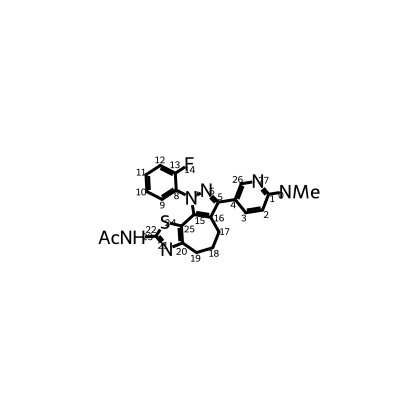 CNc1ccc(-c2nn(-c3ccccc3F)c3c2CCCc2nc(NC(C)=O)sc2-3)cn1